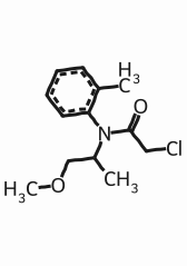 COCC(C)N(C(=O)CCl)c1ccccc1C